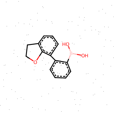 OB(O)c1ccccc1-c1cccc2c1OCC2